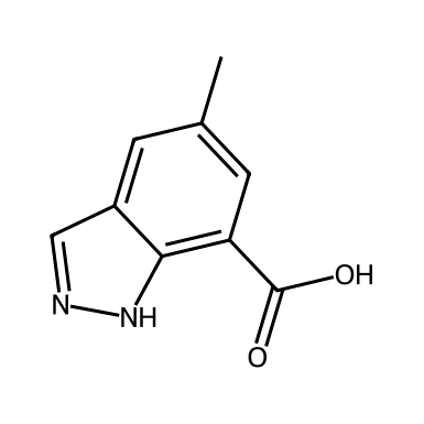 Cc1cc(C(=O)O)c2[nH]ncc2c1